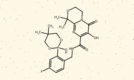 CC1(C)CO[P](O)(c2cc(F)ccc2CNC(=O)c2nc3n(c(=O)c2O)CCOC3(C)C)OC1